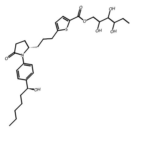 CCCCC[C@H](O)c1ccc(N2C(=O)CC[C@@H]2CCCc2ccc(C(=O)OCC(O)C(O)C(O)CC)s2)cc1